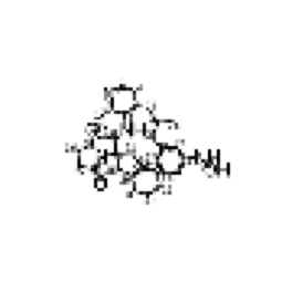 Cc1ncccc1NC(=O)[C@](CSc1ccc(NO)cc1CC(C)C)(Cc1ccccc1)N1C(=O)CCC1=O